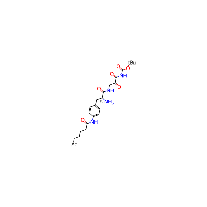 CC(=O)CCCCC(=O)Nc1ccc(C[C@H](N)C(=O)NCC(=O)C(=O)NC(=O)OC(C)(C)C)cc1